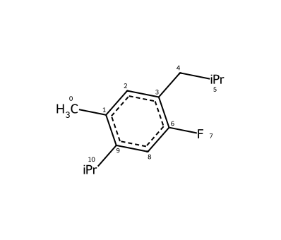 Cc1cc(CC(C)C)c(F)cc1C(C)C